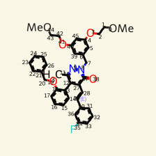 COCCOc1cc(Cn2nc(C)c(-c3ccccc3OCc3ccccc3)c(/C=C/c3cccc(F)c3)c2=O)cc(OCCOC)c1